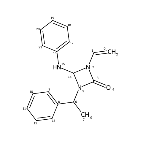 C=CN1C(=O)N(C(C)c2ccccc2)C1Nc1ccccc1